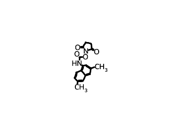 Cc1ccc2c(NC(=O)ON3C(=O)CCC3=O)cc(C)cc2c1